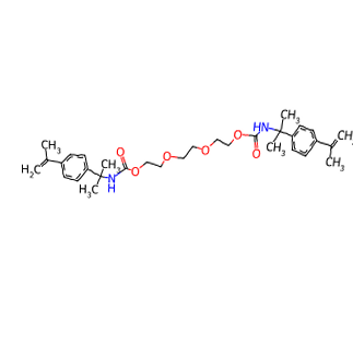 C=C(C)c1ccc(C(C)(C)NC(=O)OCCOCCOCCOC(=O)NC(C)(C)c2ccc(C(=C)C)cc2)cc1